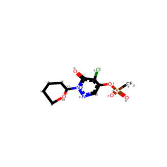 O=c1c(Cl)c(OS(=O)(=O)C(F)(F)F)cnn1C1CCCCO1